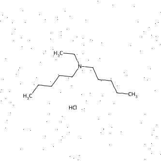 CCCCCN(CC)CCCCC.Cl